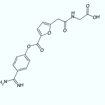 N=C(N)c1ccc(OC(=O)c2ccc(CC(=O)NCC(=O)O)o2)cc1